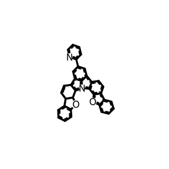 C1=CC2c3ccccc3OC2c2c1c1cc(-c3ccccn3)cc3c4ccc5c6ccccc6oc5c4n2c13